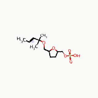 C/C=C/C(C)(C)OCC1CCC(COS(=O)(=O)O)O1